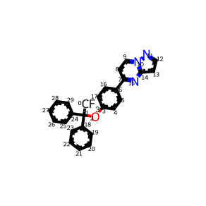 FC(F)(F)C(Oc1ccc(-c2ccn3nccc3n2)cc1)(c1ccccc1)c1ccccc1